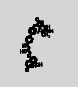 CN(C)C(=N)NC1=NC(=O)C(=Cc2ccc(N3CCC(NC[C@H](O)COc4ccc(O)c5c4CCC(=O)N5)CC3)cc2)S1